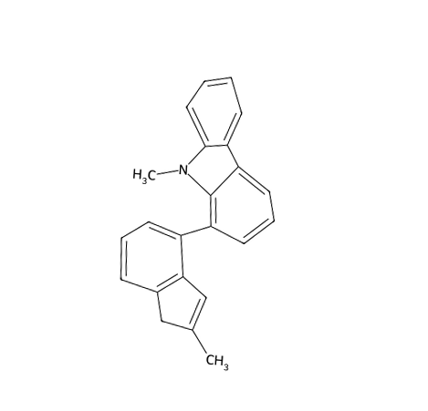 CC1=Cc2c(cccc2-c2cccc3c4ccccc4n(C)c23)C1